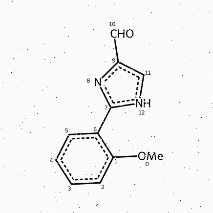 COc1ccccc1-c1nc(C=O)c[nH]1